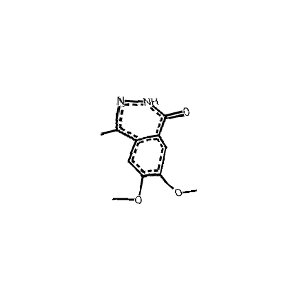 COc1cc2c(C)n[nH]c(=O)c2cc1OC